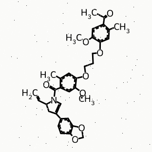 C=CC1CC(c2ccc3c(c2)OCO3)=CN1C(=O)c1cc(OC)c(OCCCOc2cc(C)c(C(C)=O)cc2OC)cc1C